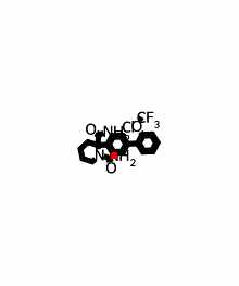 NC(=O)N1CCCCC1(C(N)=O)c1ccc(-c2ccccc2OC(F)(F)F)c(Cl)c1